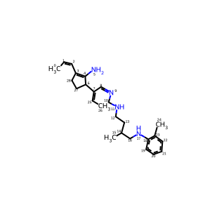 C/C=C\C1=C(N)C(C(/C=N\CNCCC(C)CNc2ccccc2C)=C/C)CC1